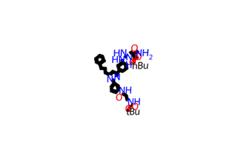 CCCCOC(=O)C(C)(NC(=N)Nc1cccc(-c2cc(CCCc3ccccc3)nc(-c3cccc(NC(=O)CCNC(=O)OC(C)(C)C)c3)n2)c1)C(N)=O